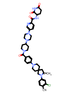 C[C@@H]1CC2(CCN(c3ccc(C(=O)N4CCC(N5CCN(c6ccc(C(=O)N[C@@H]7CCC(=O)NC7=O)nc6)CC5)CC4)cc3)CC2)CN1c1ccc(C#N)c(Cl)c1